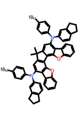 CC(C)(C)c1ccc(N(c2ccc3c(c2)CCC3)c2cc3c(c4oc5ccccc5c24)-c2c(cc(N(c4ccc(C(C)(C)C)cc4)c4ccc5c(c4)CCC5)c4c2oc2ccccc24)C3(C)C)cc1